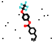 CCC1CCC(C(=O)Oc2ccc(OC(F)(F)C(F)(F)F)cc2)CC1